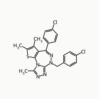 Cc1sc2c(c1C)C(c1ccc(Cl)cc1)=NN(Cc1ccc(Cl)cc1)c1nnc(C)n1-2